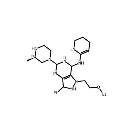 CCOCCN1NC(CC)C2=C1C(NC1=CCCCN1)NC(N1CCN[C@H](C)C1)N2